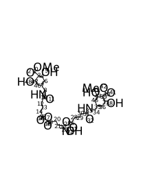 COC(=O)c1c(O)cc(CNC(=O)CCCC(=O)OC(=O)CC/C(=N/O)OC(=O)CCCC(=O)NCc2cc(O)c(C(=O)OC)c(O)c2)cc1O